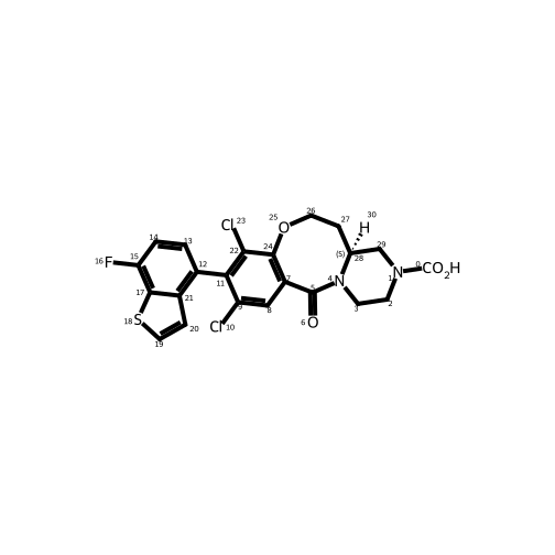 O=C(O)N1CCN2C(=O)c3cc(Cl)c(-c4ccc(F)c5sccc45)c(Cl)c3OCC[C@H]2C1